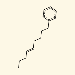 CCCC=CCCCCc1[c]cccc1